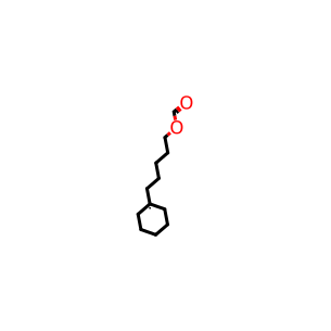 O=COCCCCC[C]1CCCCC1